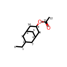 CCC1CC2CC(C1)CC(OC(C)=O)C2